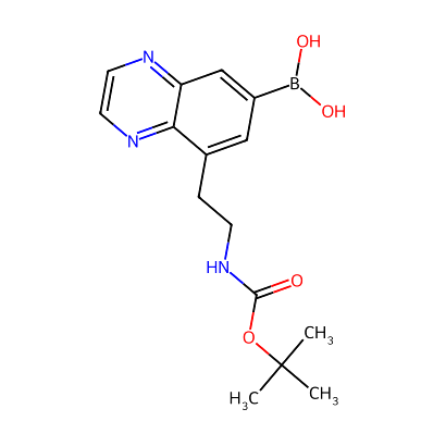 CC(C)(C)OC(=O)NCCc1cc(B(O)O)cc2nccnc12